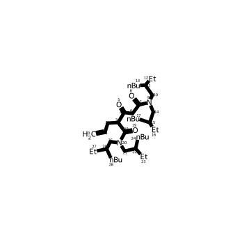 C=CCC(C(=O)CC(=O)N(CC(CC)CCCC)CC(CC)CCCC)C(=O)N(CC(CC)CCCC)CC(CC)CCCC